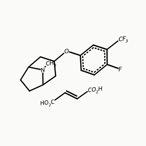 CN1C2CCC1CC(Oc1ccc(F)c(C(F)(F)F)c1)C2.O=C(O)/C=C/C(=O)O